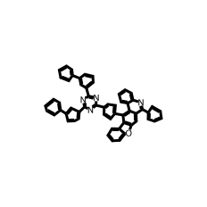 c1ccc(-c2cccc(-c3nc(-c4ccc(-c5c6c(cc7c(-c8ccccc8)nc8ccccc8c57)oc5ccccc56)cc4)nc(-c4cccc(-c5ccccc5)c4)n3)c2)cc1